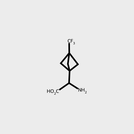 NC(C(=O)O)C12CC(C(F)(F)F)(C1)C2